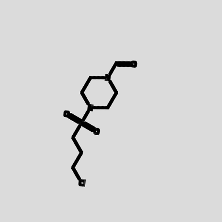 O=CN1CCN(S(=O)(=O)CCCCl)CC1